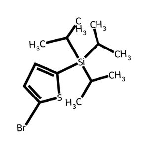 CC(C)[Si](c1ccc(Br)s1)(C(C)C)C(C)C